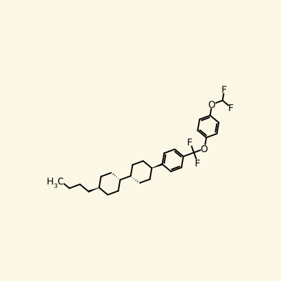 CCCC[C@H]1CC[C@H]([C@H]2CC[C@H](c3ccc(C(F)(F)Oc4ccc(OC(F)F)cc4)cc3)CC2)CC1